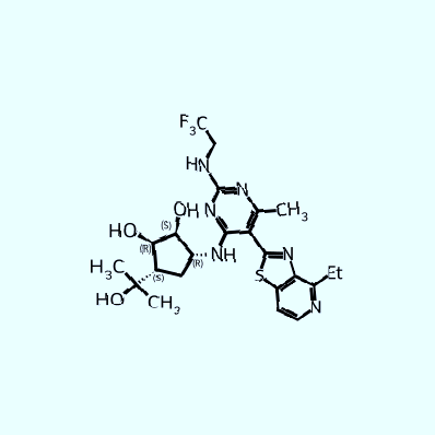 CCc1nccc2sc(-c3c(C)nc(NCC(F)(F)F)nc3N[C@@H]3C[C@H](C(C)(C)O)[C@@H](O)[C@H]3O)nc12